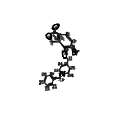 O=C1OCc2c1ccc(Br)c2OCC1=CCN(Cc2ccccc2)CC1